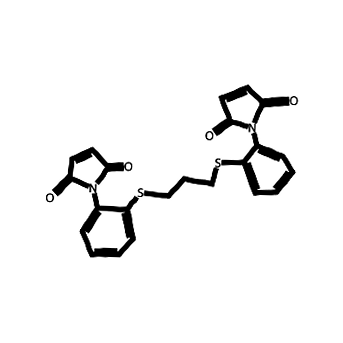 O=C1C=CC(=O)N1c1ccccc1SCCCSc1ccccc1N1C(=O)C=CC1=O